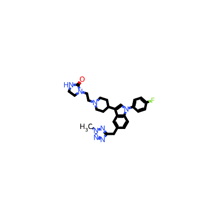 Cn1nnc(Cc2ccc3c(c2)c(C2CCN(CCN4CCNC4=O)CC2)cn3-c2ccc(F)cc2)n1